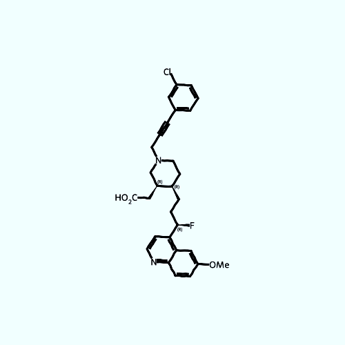 COc1ccc2nccc([C@H](F)CC[C@@H]3CCN(CC#Cc4cccc(Cl)c4)C[C@@H]3CC(=O)O)c2c1